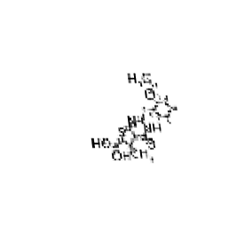 CCOc1ccccc1Cc1nc2sc(C(O)O)c(C)c2c(=O)[nH]1